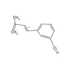 C=C(C)/C=C/c1cccc(C#N)c1